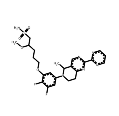 COC(CCCOc1cc(N2CCc3nc(-c4ncccn4)ncc3C2C)cc(F)c1F)CS(N)(=O)=O